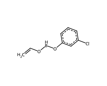 C=COBOc1cccc(Cl)c1